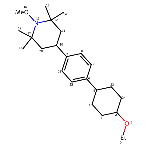 CCOC1CCC(c2ccc(C3CC(C)(C)N(OC)C(C)(C)C3)cc2)CC1